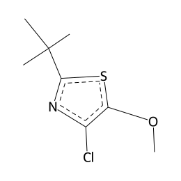 COc1sc(C(C)(C)C)nc1Cl